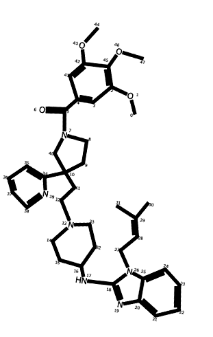 COc1cc(C(=O)N2CCC(CCN3CCC(Nc4nc5ccccc5n4CC=C(C)C)CC3)(c3ccccn3)C2)cc(OC)c1OC